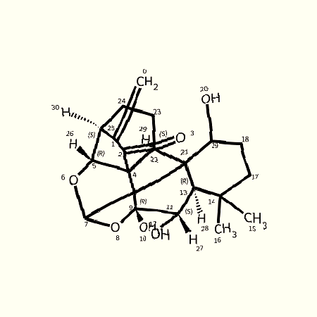 C=C1C(=O)C23[C@@H]4OC5O[C@@]2(O)[C@@H](O)[C@@H]2C(C)(C)CCC(O)C52[C@@H]3CC[C@@H]14